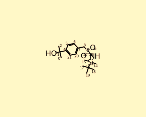 CC(C)(O)c1ccc(CS(=O)(=O)N[Si](C)(C)C(C)(C)C)cc1